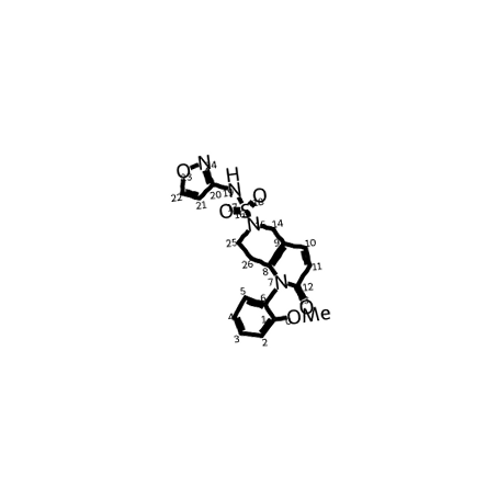 COc1ccccc1-n1c2c(ccc1=O)CN(S(=O)(=O)Nc1ccon1)CC2